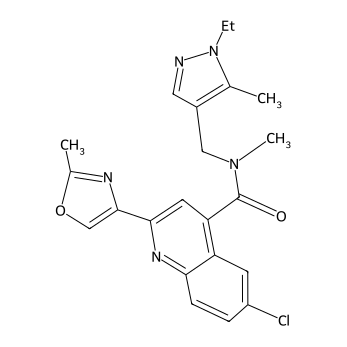 CCn1ncc(CN(C)C(=O)c2cc(-c3coc(C)n3)nc3ccc(Cl)cc23)c1C